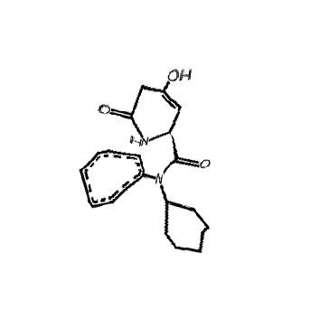 O=C1CC(O)=C[C@@H](C(=O)N(c2ccccc2)C2CCCCC2)N1